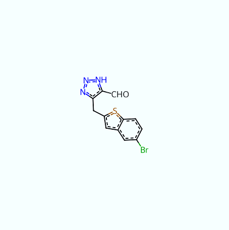 O=Cc1[nH]nnc1Cc1cc2cc(Br)ccc2s1